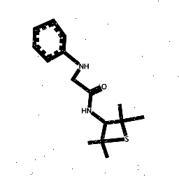 CC1(C)SC(C)(C)C1NC(=O)CNc1ccccc1